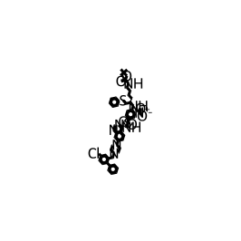 CC(C)(C)OC(=O)NCCCC[C@H](CSc1ccccc1)Nc1ccc(S(=O)(=O)Nc2ncnc3cc(N4CCN(Cc5cc(Cl)ccc5-c5ccccc5)CC4)ccc23)cc1[N+](=O)[O-]